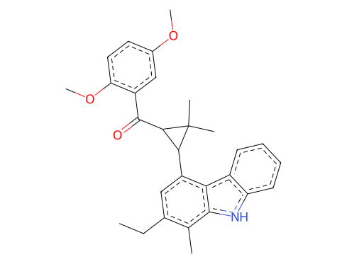 CCc1cc(C2C(C(=O)c3cc(OC)ccc3OC)C2(C)C)c2c([nH]c3ccccc32)c1C